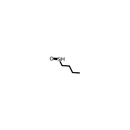 CCCC[SiH]=O